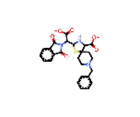 O=C(O)C(C1NC(C(=O)O)C2(CCN(Cc3ccccc3)CC2)S1)N1C(=O)c2ccccc2C1=O